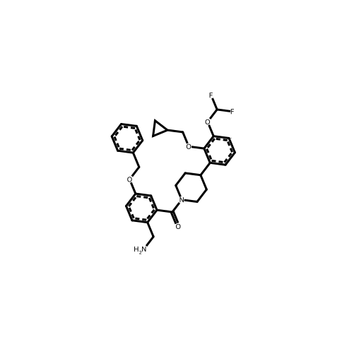 NCc1ccc(OCc2ccccc2)cc1C(=O)N1CCC(c2cc[c]c(OC(F)F)c2OCC2CC2)CC1